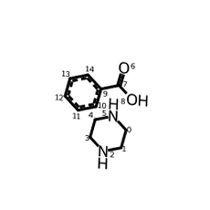 C1CNCCN1.O=C(O)c1ccccc1